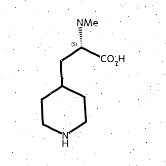 CN[C@@H](CC1CCNCC1)C(=O)O